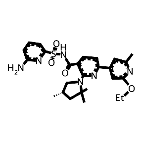 CCOc1cc(-c2ccc(C(=O)NS(=O)(=O)c3cccc(N)n3)c(N3C[C@@H](C)CC3(C)C)n2)cc(C)n1